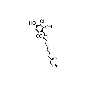 CC(C)CC(=O)CCCCCCCCc1c(C(=O)O)cc(O)c(O)c1O